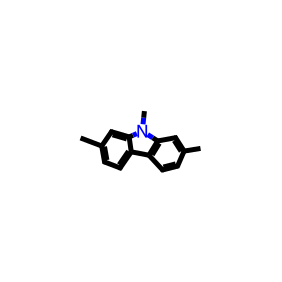 Cc1ccc2c3ccc(C)cc3n(C)c2c1